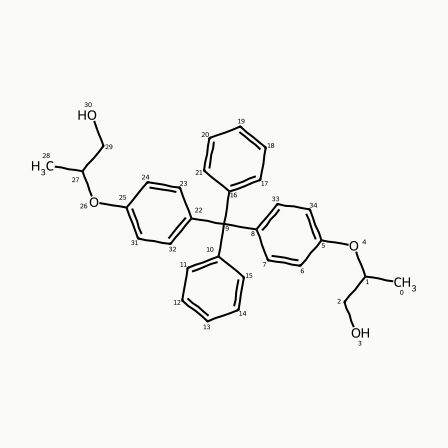 CC(CO)Oc1ccc(C(c2ccccc2)(c2ccccc2)c2ccc(OC(C)CO)cc2)cc1